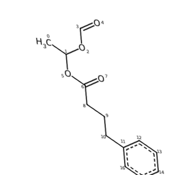 CC(OC=O)OC(=O)CCCc1ccccc1